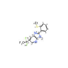 CCSc1ccccc1-c1nc2cc(C(F)(F)C(F)(F)F)cnc2n1C